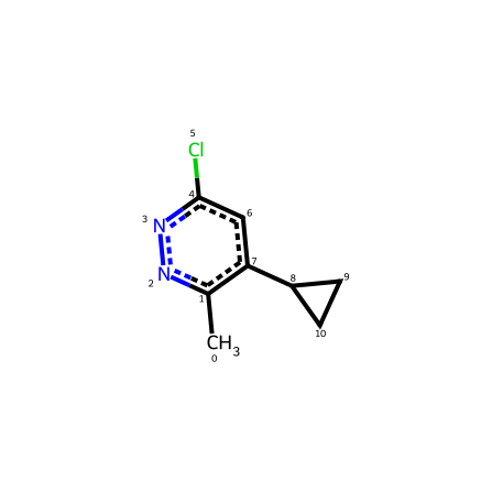 Cc1nnc(Cl)cc1C1CC1